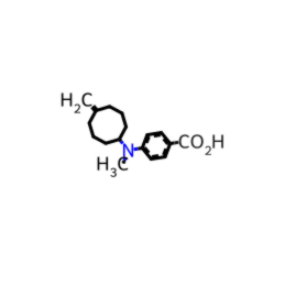 C=C1CCCC(N(C)c2ccc(C(=O)O)cc2)CCC1